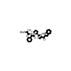 CNC(C)C(=O)NC(C(=O)N1CCC[C@H]1c1nc(C(=O)c2cc3ccccc3[nH]2)cs1)C1CCCCC1